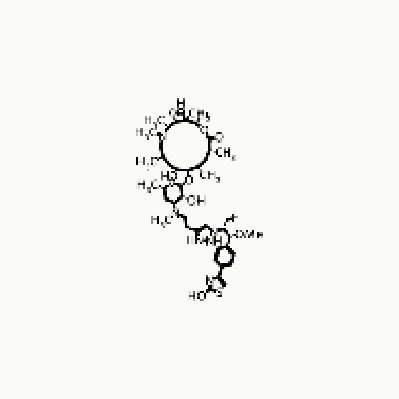 CC[C@H]1OC(=O)[C@H](C)C[C@H](C)[C@@H](O[C@@H]2O[C@H](C)C[C@H](N(C)CCC3=CN([C@H](CF)[C@H](OC)c4ccc(-c5csc(O)n5)cc4)NN3)[C@H]2O)[C@H](O)C[C@@H](C)CN(C)[C@H](C)[C@@H](O)[C@]1(C)O